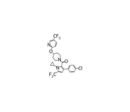 O=C(c1c(-c2ccc(Cl)cc2)cc(C(F)(F)F)n1C1CC1)N1CCC(Oc2ccc(C(F)(F)F)cn2)CC1